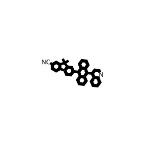 CC1(C)c2cc(C#N)ccc2-c2ccc(-c3c4ccccc4c(-c4ccnc5ccccc45)c4ccccc34)cc21